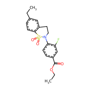 CCOC(=O)c1ccc(N2CCc3cc(CC)ccc3S2(=O)=O)c(F)c1